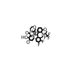 O=C1c2c(O)c(=O)ccn2N([C@H]2c3ccc(F)c(F)c3CN3c4c(cccc42)OCC3C(F)(F)F)[C@@H]2COCCN12